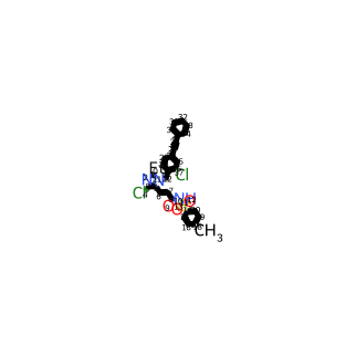 CCc1nc(Cl)c(/C=C/C(=O)NS(=O)(=O)c2ccc(C)cc2)n1Cc1ccc(C#Cc2ccccc2)cc1Cl